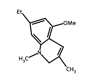 CCc1cc(OC)c2c(c1)N(C)CC(C)=C2